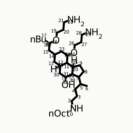 CCCCCCCCNCCCC(C)C1CC[C@H]2C3[C@@H](CC(C[C@@H](CCCC)OCCCN)C[C@H]3OCCCN)C[C@H](O)[C@]12C